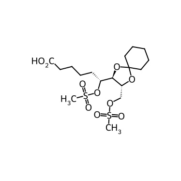 CS(=O)(=O)OC[C@H]1OC2(CCCCC2)O[C@@H]1[C@@H](CCCCC(=O)O)OS(C)(=O)=O